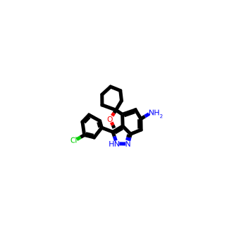 COC1(c2cc(N)cc3n[nH]c(-c4cccc(Cl)c4)c23)CCCCC1